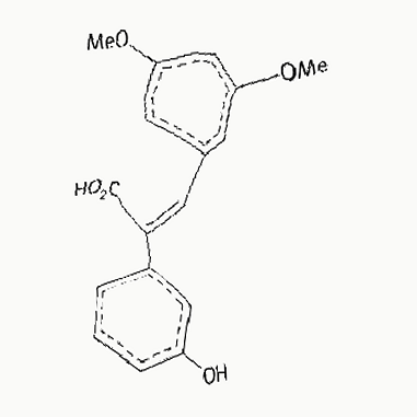 COc1cc(/C=C(\C(=O)O)c2cccc(O)c2)cc(OC)c1